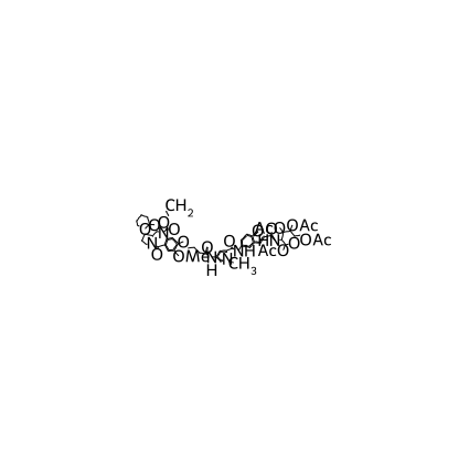 C=CCOC(=O)N1c2cc(OCCCC(=O)Nc3cc(C(=O)Nc4ccc5oc(C(=O)NC6C(OC(C)=O)OC(COC(C)=O)C(OC(C)=O)C6OC(C)=O)cc5c4)n(C)c3)c(OC)cc2C(=O)N2CCCC2C1OC1CCCCO1